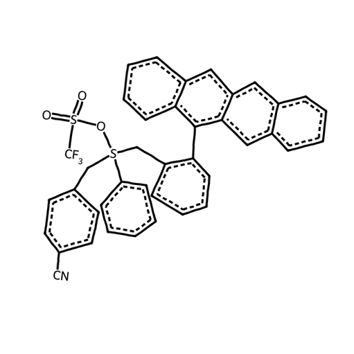 N#Cc1ccc(CS(Cc2ccccc2-c2c3ccccc3cc3cc4ccccc4cc23)(OS(=O)(=O)C(F)(F)F)c2ccccc2)cc1